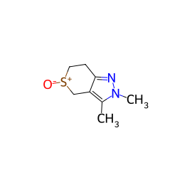 Cc1c2c(nn1C)CC[S+]([O-])C2